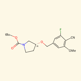 COc1cc(CO[C@@H]2CCN(C(=O)OC(C)(C)C)C2)cc(F)c1C#N